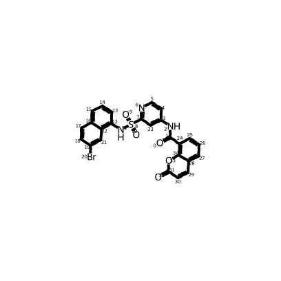 O=C(Nc1ccnc(S(=O)(=O)Nc2cccc3ccc(Br)cc23)c1)c1cccc2ccc(=O)oc12